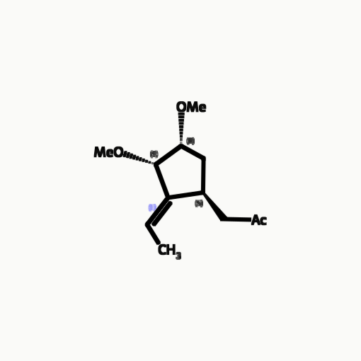 C/C=C1\[C@H](CC(C)=O)C[C@@H](OC)[C@H]1OC